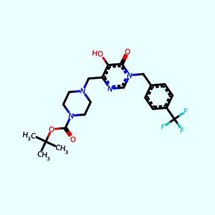 CC(C)(C)OC(=O)N1CCN(Cc2ncn(Cc3ccc(C(F)(F)F)cc3)c(=O)c2O)CC1